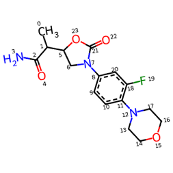 CC(C(N)=O)C1CN(c2ccc(N3CCOCC3)c(F)c2)C(=O)O1